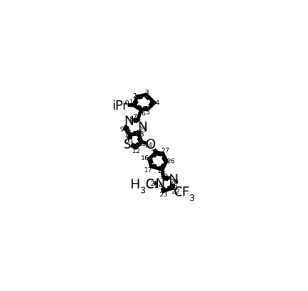 CC(C)c1ccccc1-c1ncc2scc(Oc3ccc(-c4nc(C(F)(F)F)cn4C)cc3)c2n1